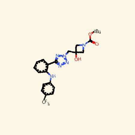 CC(C)(C)OC(=O)N1CC(O)(Cn2nnc(-c3ccccc3Nc3ccc(C(F)(F)F)cc3)n2)C1